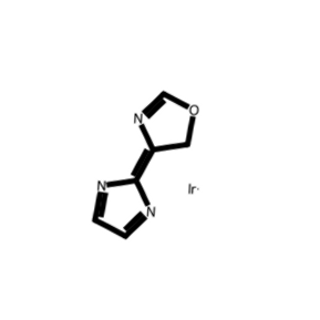 C1=NC(=C2N=CC=N2)CO1.[Ir]